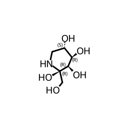 OC[C@]1(O)NC[C@H](O)[C@@H](O)[C@H]1O